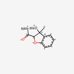 CNC(=O)C1Oc2ccccc2C1(C)OC